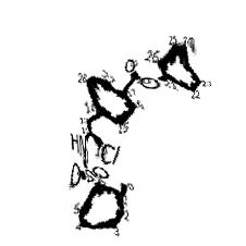 Cc1ccccc1S(=O)(=O)NC(Cl)Cc1ccc(C(=O)Oc2ccccc2)cc1